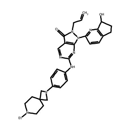 C=CCn1c(=O)c2cnc(Nc3ccc(N4CC5(CCN(CC)CC5)C4)cc3)nc2n1-c1ccc2c(n1)C(O)CC2